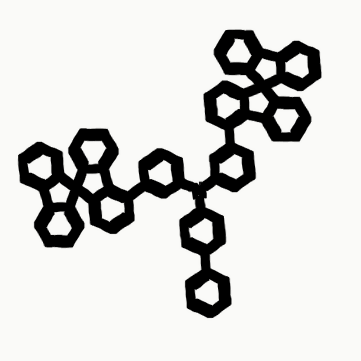 c1ccc(-c2ccc(N(c3cccc(-c4cccc5c4-c4ccccc4C54c5ccccc5-c5ccccc54)c3)c3cccc(-c4cccc5c4-c4ccccc4C54c5ccccc5-c5ccccc54)c3)cc2)cc1